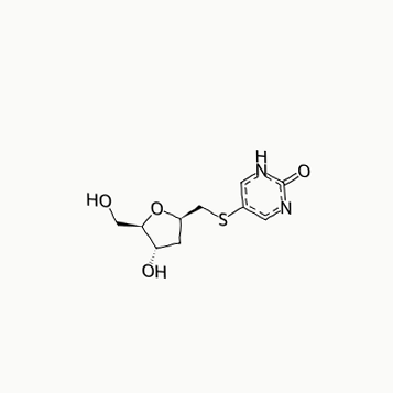 O=c1ncc(SC[C@H]2C[C@H](O)[C@@H](CO)O2)c[nH]1